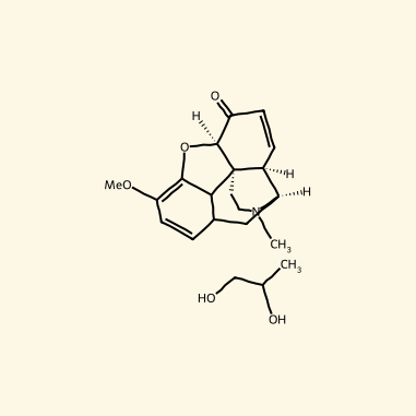 CC(O)CO.COC1=C2O[C@H]3C(=O)C=C[C@H]4[C@H]5CC(C=C1)C2[C@@]34CCN5C